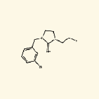 N=C1N(CCF)CCN1Cc1cccc(Br)c1